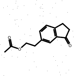 CC(=O)OCCc1ccc2c(c1)C(=O)CC2